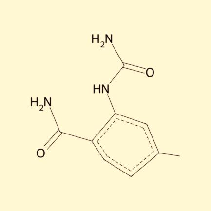 Cc1ccc(C(N)=O)c(NC(N)=O)c1